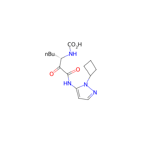 CCCC[C@H](NC(=O)O)C(=O)C(=O)Nc1ccnn1C1CCC1